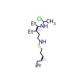 CC/C(CCNSCC/C=C\CC(C)C)=C(\CC)NC(C)Cl